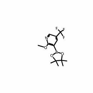 COc1ncc(C(F)(F)F)cc1B1OC(C)(C)C(C)(C)O1